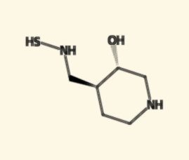 O[C@@H]1CNCC[C@H]1CNS